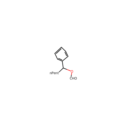 CCCCCC(OC=O)c1ccccc1